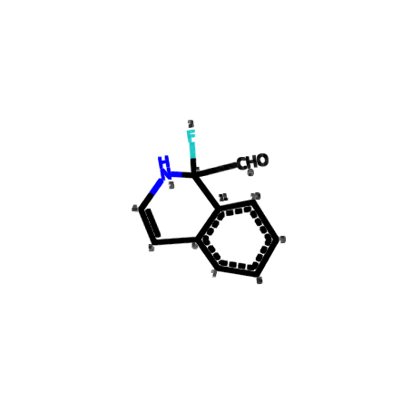 O=CC1(F)NC=Cc2ccccc21